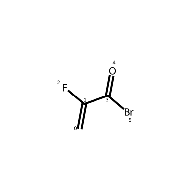 C=C(F)C(=O)Br